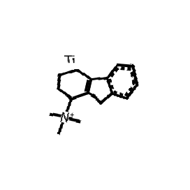 C[N+](C)(C)C1CCCC2=C1Cc1ccccc12.[Ti]